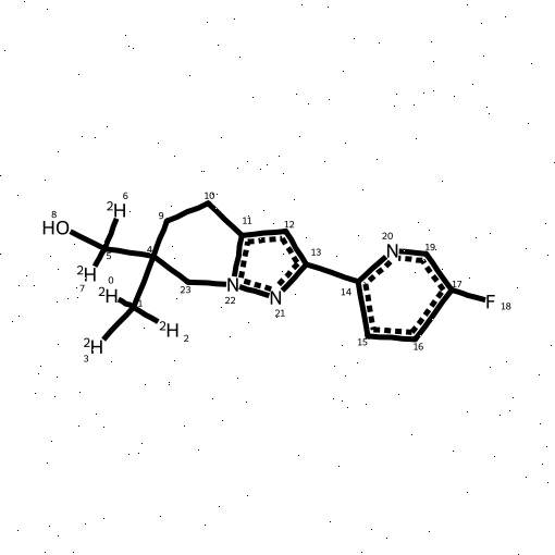 [2H]C([2H])([2H])C1(C([2H])([2H])O)CCc2cc(-c3ccc(F)cn3)nn2C1